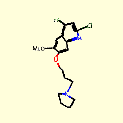 COc1cc2c(Cl)cc(Cl)nc2cc1OCCCN1CCCC1